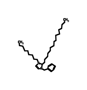 CCCCCCCCCCCCCCCCC1N(CCCCCCCCC)C=CN1Cc1ccccc1